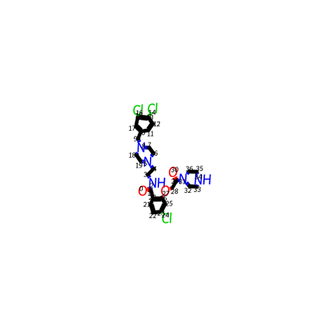 O=C(NCCN1CCN(Cc2ccc(Cl)c(Cl)c2)CC1)c1ccc(Cl)cc1OCC(=O)N1CCNCC1